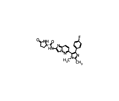 Cc1nc(-c2ccc(F)cc2)c(-c2ccc3nc(NC(=O)[C@@H]4CCC(=O)N4)cn3n2)n1C